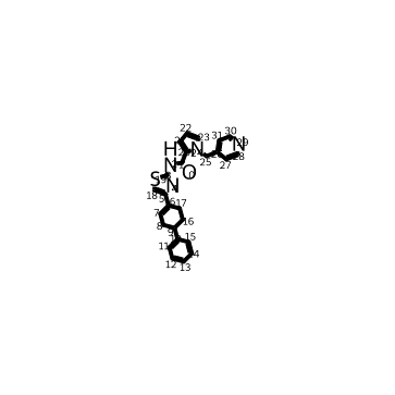 O=C(Nc1nc(C2=CCC(c3ccccc3)CC2)cs1)c1cccn1Cc1ccncc1